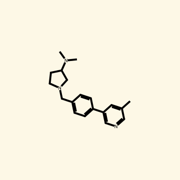 Cc1cncc(-c2ccc(CN3CCC(N(C)C)C3)cc2)c1